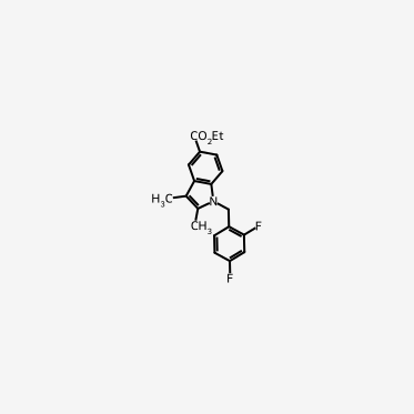 CCOC(=O)c1ccc2c(c1)c(C)c(C)n2Cc1ccc(F)cc1F